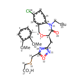 COc1cccc([C@H]2O[C@H](Cc3noc(CSCC(=O)O)n3)C(=O)N(CC(C)(C)C)c3ccc(Cl)cc32)c1OC